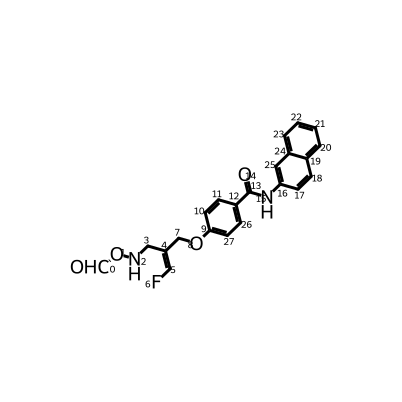 O=CONCC(=CF)COc1ccc(C(=O)Nc2ccc3ccccc3c2)cc1